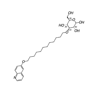 OC[C@H]1OC(O)[C@H](O)[C@@H](OCCCCCCCCCCCCOc2ccc3ncccc3c2)[C@@H]1O